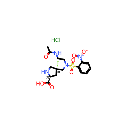 CC(=O)NCCN(C[C@]1(F)CN[C@H](C(=O)O)C1)S(=O)(=O)c1ccccc1[N+](=O)[O-].Cl